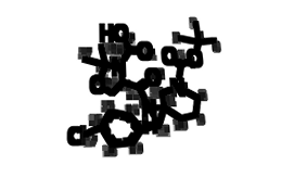 CC(C)(C)OC(=O)N1CCCC(Cc2ccc(Cl)cc2)(NC(=O)C2COC(C)(C)N2C(=O)O)C1